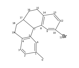 Cc1ccc2c(c1)C1c3cc(Br)ccc3CCC1CC2